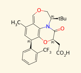 CC1=C[C@H](c2ccccc2C(F)(F)F)C2=C3C1=COC[C@@H](C(C)(C)C)N3C(=O)[C@@H](CC(=O)O)O2